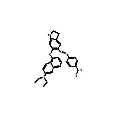 CCN(CC)c1ccc2c(Oc3cc4c(cc3/N=N/c3ccc([N+](=O)[O-])cc3)CCN4)cccc2c1